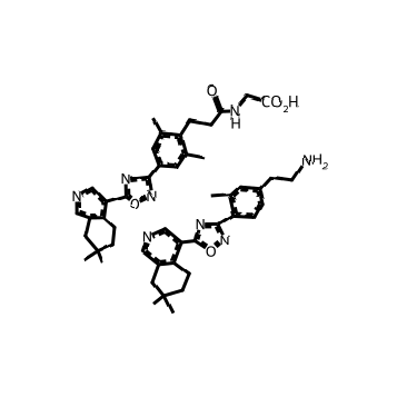 Cc1cc(-c2noc(-c3cncc4c3CCC(C)(C)C4)n2)cc(C)c1CCC(=O)NCC(=O)O.Cc1cc(CCN)ccc1-c1noc(-c2cncc3c2CCC(C)(C)C3)n1